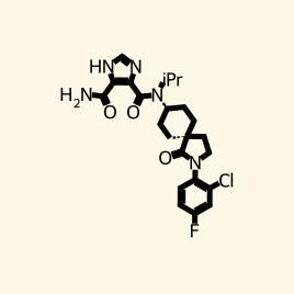 CC(C)N(C(=O)c1nc[nH]c1C(N)=O)[C@H]1CC[C@@]2(CCN(c3ccc(F)cc3Cl)C2=O)CC1